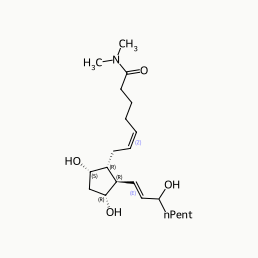 CCCCCC(O)/C=C/[C@@H]1[C@@H](C/C=C\CCCC(=O)N(C)C)[C@@H](O)C[C@H]1O